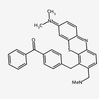 CNCc1ccc2nc3ccc(=[N+](C)C)cc-3sc2c1Cc1ccc(C(=O)c2ccccc2)cc1